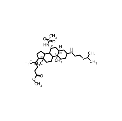 COC(=O)CC[C@@H](C)C1CCC2C3C(CC[C@@]21C)[C@@]1(C)CCC(NCCNC(C)C)C[C@@H]1C[C@H]3NS(C)(=O)=O